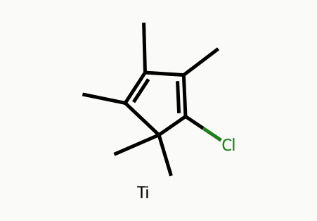 CC1=C(C)C(C)(C)C(Cl)=C1C.[Ti]